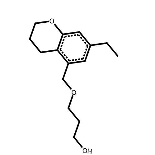 CCc1cc(COCCCO)c2c(c1)OCCC2